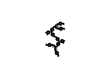 C=Cc1ccc(COCC(COCc2ccc(C=C)cc2)Cc2ccc(N(c3ccc(CCc4ccc(N(c5ccc(CC(COCc6ccc(C=C)cc6)COCc6ccc(C=C)cc6)cc5)c5ccc(C)c(C)c5)cc4)cc3)c3ccc(C)c(C)c3)cc2)cc1